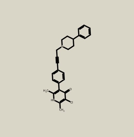 Cc1[nH]c(C)c(-c2ccc(C#CCN3CCC(c4ccccc4)CC3)cc2)c(=O)c1Cl